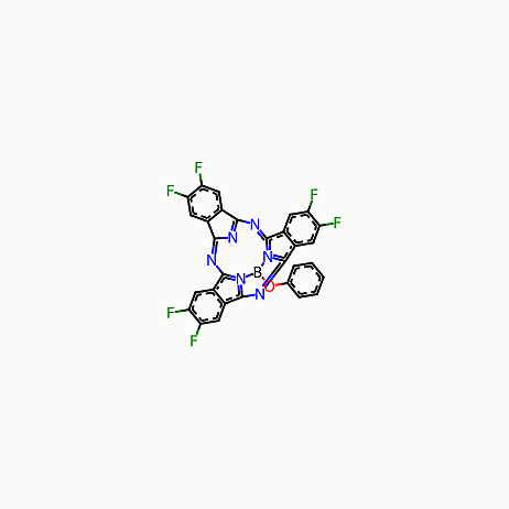 Fc1cc2c(cc1F)/C1=N/c3c4cc(F)c(F)cc4c4n3B(Oc3ccccc3)n3c(c5cc(F)c(F)cc5/c3=N/C2=N1)=N4